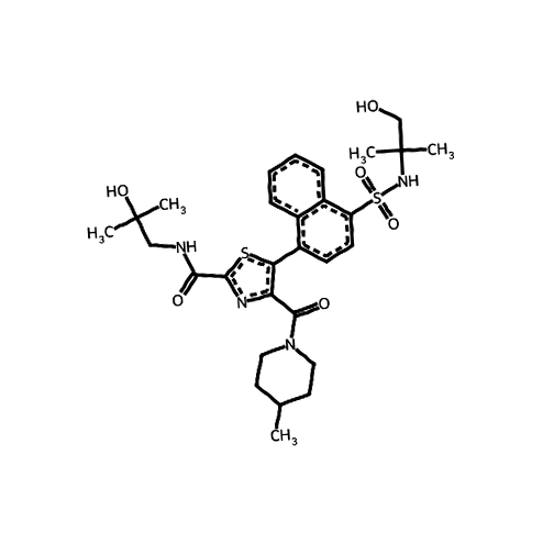 CC1CCN(C(=O)c2nc(C(=O)NCC(C)(C)O)sc2-c2ccc(S(=O)(=O)NC(C)(C)CO)c3ccccc23)CC1